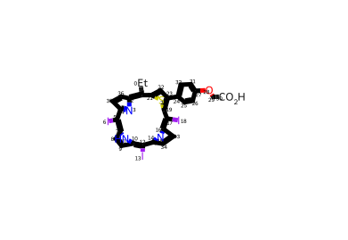 CCc1c2nc(c(I)c3ccc([nH]3)c(I)c3nc(c(I)c4sc1cc4-c1ccc(OCC(=O)O)cc1)C=C3)C=C2